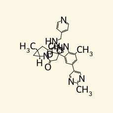 CC(=O)C1(CC(=O)N2[C@H](C(=O)NCc3ccncc3)C[C@@]3(C)C[C@@H]23)N=Nc2c(C)cc(-c3cnc(C)nc3)cc21